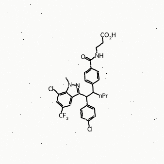 CCCC(c1ccc(C(=O)NCCC(=O)O)cc1)C(c1ccc(Cl)cc1)c1nn(C)c2c(Cl)cc(C(F)(F)F)cc12